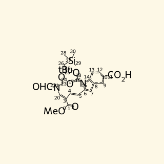 COC(=O)C(/C=C/c1cc2cc(C(=O)O)ccc2n1C(=O)OC(C)(C)C)=C/N(C=O)COCC[Si](C)(C)C